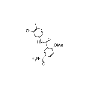 COc1ccc(C(N)=O)cc1C(=O)Nc1ccc(C)c(Cl)c1